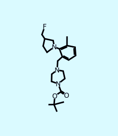 Cc1cccc(CN2CCN(C(=O)OC(C)(C)C)CC2)c1N1CCC(CF)C1